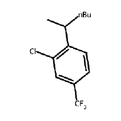 CCCCC(C)c1ccc(C(F)(F)F)cc1Cl